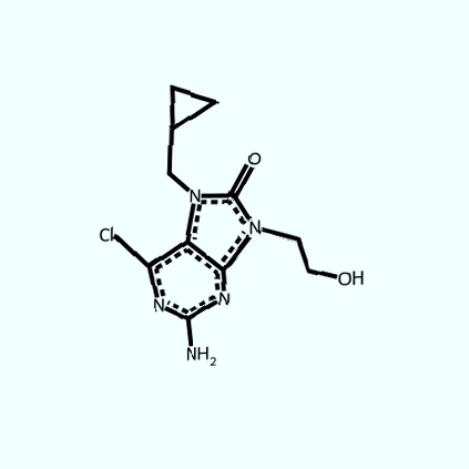 Nc1nc(Cl)c2c(n1)n(CCO)c(=O)n2CC1CC1